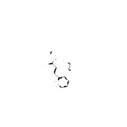 C=CC=C.C=COC(=O)C=Cc1ccccn1